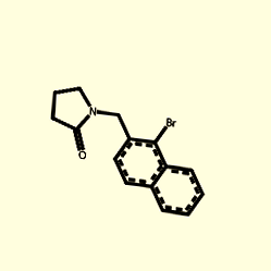 O=C1CCCN1Cc1ccc2ccccc2c1Br